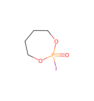 O=P1(I)OCCCCO1